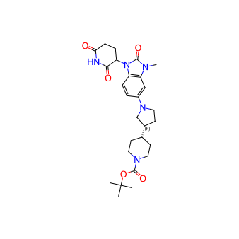 Cn1c(=O)n(C2CCC(=O)NC2=O)c2ccc(N3CC[C@H](C4CCN(C(=O)OC(C)(C)C)CC4)C3)cc21